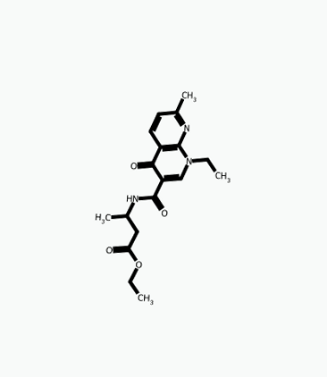 CCOC(=O)CC(C)NC(=O)c1cn(CC)c2nc(C)ccc2c1=O